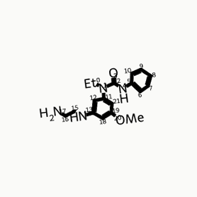 CCN(C(=O)Nc1ccccc1)c1cc(NCCN)cc(OC)c1